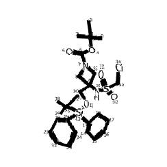 CC(C)(C)OC(=O)N1CC(CO[Si](c2ccccc2)(c2ccccc2)C(C)(C)C)(NS(=O)(=O)CCl)C1